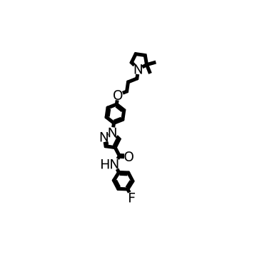 CC1(C)CCCN1CCCOc1ccc(-n2cc(C(=O)Nc3ccc(F)cc3)cn2)cc1